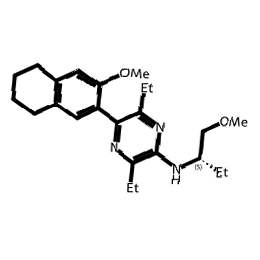 CCc1nc(-c2cc3c(cc2OC)CCCC3)c(CC)nc1N[C@@H](CC)COC